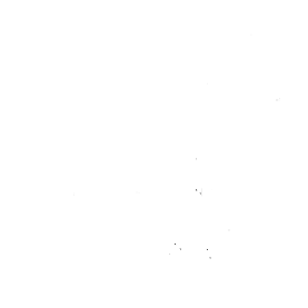 C=C/C=C\C=C(/C)c1nnc(S)n1CCc1ccccc1